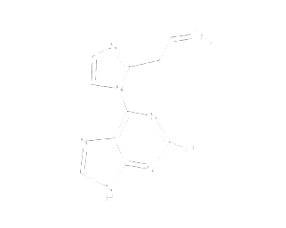 C=CCc1nccn1-c1nc(Cl)nc2[nH]cnc12